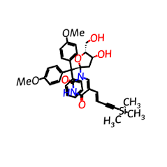 COc1ccc(C(c2ccccc2)(c2ccc(OC)cc2)[C@]2(n3cc(C=CC#C[Si](C)(C)C)c(=O)[nH]c3=O)C[C@H](O)[C@@H](CO)O2)cc1